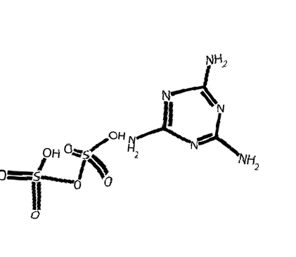 Nc1nc(N)nc(N)n1.O=S(=O)(O)OS(=O)(=O)O